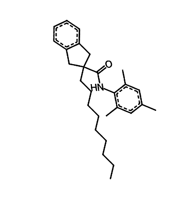 CCCCCCCCCC1(C(=O)Nc2c(C)cc(C)cc2C)Cc2ccccc2C1